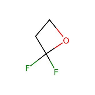 FC1(F)CCO1